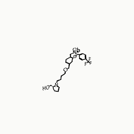 CN(CC1CCC(COCCCCN2CCC[C@H]2CO)CC1)S(=O)(=O)c1ccc(C(F)(F)F)cc1